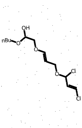 CCCCOC(O)CO/C=C/COC(Cl)/C=C/Cl